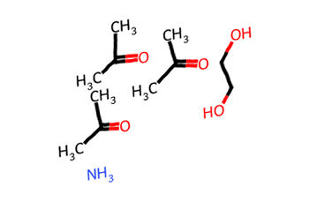 CC(C)=O.CC(C)=O.CC(C)=O.N.OCCO